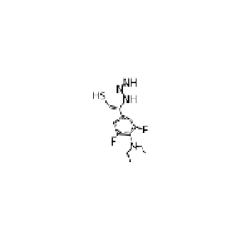 CCN(CC)c1c(F)cc(/C(=C/S)NN=N)cc1F